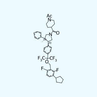 CC(=O)N1CCC(C(=O)N2C[C@@H](c3ccc(C(OCc4c(F)ccc(C5CCCC5)c4F)(C(F)(F)F)C(F)(F)F)cc3)[C@@](C)(c3ccccc3)C2)CC1